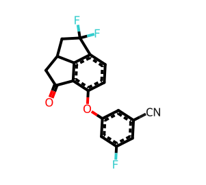 N#Cc1cc(F)cc(Oc2ccc3c4c2C(=O)CC4CC3(F)F)c1